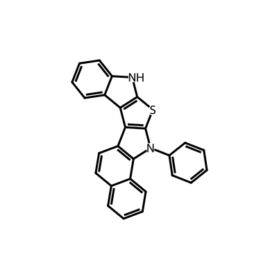 c1ccc(-n2c3sc4[nH]c5ccccc5c4c3c3ccc4ccccc4c32)cc1